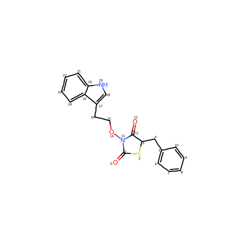 O=C1SC(Cc2ccccc2)C(=O)N1OCCc1c[nH]c2ccccc12